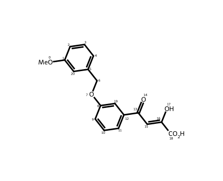 COc1cccc(COc2cccc(C(=O)C=C(O)C(=O)O)c2)c1